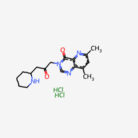 Cc1cc(C)c2ncn(CC(=O)CC3CCCCN3)c(=O)c2n1.Cl.Cl